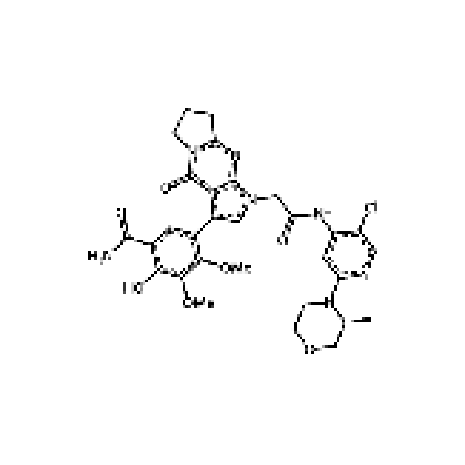 COc1c(-c2cn(CC(=O)Nc3cc(N4CCOC[C@@H]4C)ncc3Cl)c3nc4n(c(=O)c23)CCC4)cc(C(N)=O)c(O)c1OC